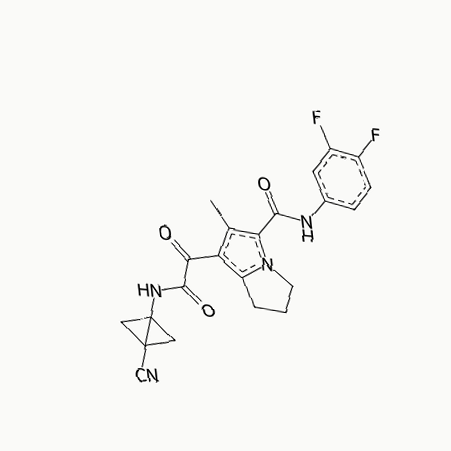 Cc1c(C(=O)C(=O)NC23CC2(C#N)C3)c2n(c1C(=O)Nc1ccc(F)c(F)c1)CCC2